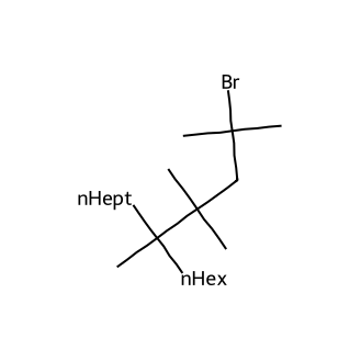 CCCCCCCC(C)(CCCCCC)C(C)(C)CC(C)(C)Br